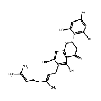 CC(C)=CCC/C(C)=C/Cc1c(O)cc2c(c1O)C(=O)C[C@@H](c1c(O)cc(O)cc1O)O2